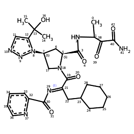 CC(NC(=O)[C@@H]1C[C@H](n2nncc2C(C)(C)O)CN1C(=O)/C(CC1CCCCC1)=N/C(=O)c1ccccn1)C(=O)C(N)=O